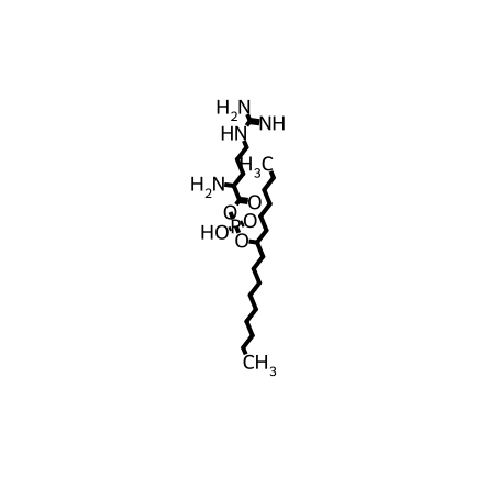 CCCCCCCCCC(CCCCCC)OP(=O)(O)OC(=O)C(N)CCCNC(=N)N